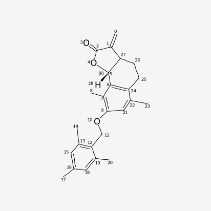 C=C1C(=O)O[C@H]2c3c(C)c(OCc4c(C)cc(C)cc4C)cc(C)c3CCC12